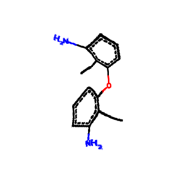 Cc1c(N)cccc1Oc1cccc(N)c1C